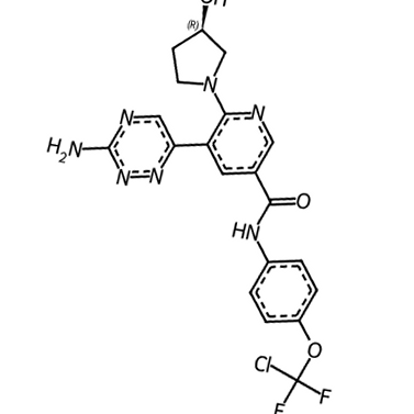 Nc1ncc(-c2cc(C(=O)Nc3ccc(OC(F)(F)Cl)cc3)cnc2N2CC[C@@H](O)C2)nn1